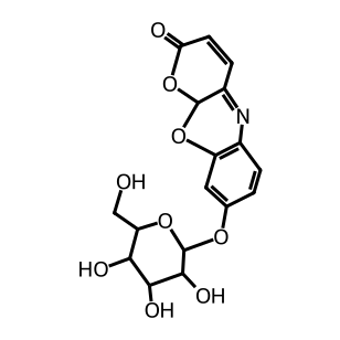 O=C1C=CC2=Nc3ccc(OC4OC(CO)C(O)C(O)C4O)cc3OC2O1